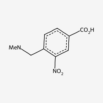 CNCc1ccc(C(=O)O)cc1[N+](=O)[O-]